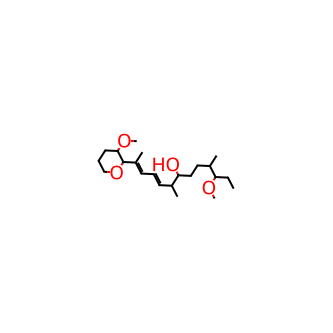 CCC(OC)C(C)CCC(O)C(C)/C=C/C=C(\C)C1OCCCC1OC